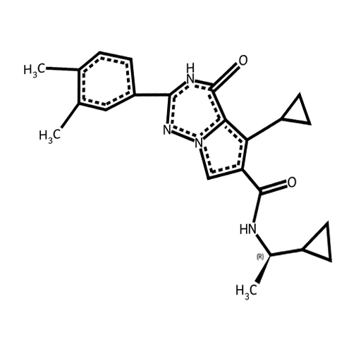 Cc1ccc(-c2nn3cc(C(=O)N[C@H](C)C4CC4)c(C4CC4)c3c(=O)[nH]2)cc1C